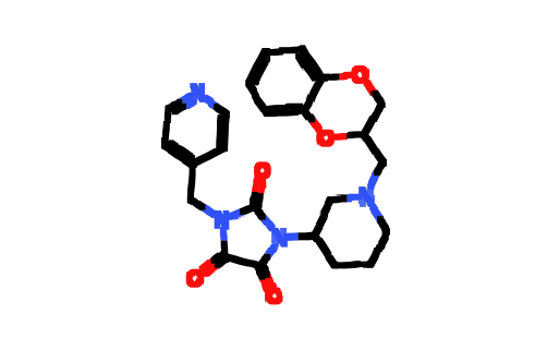 O=C1C(=O)N(C2CCCN(CC3COc4ccccc4O3)C2)C(=O)N1Cc1ccncc1